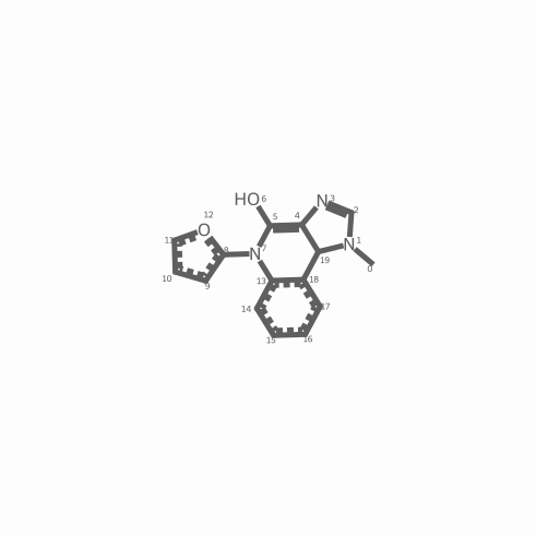 CN1C=NC2=C(O)N(c3ccco3)c3ccccc3C21